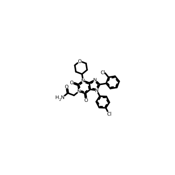 NC(=O)Cn1c(=O)c2c(nc(-c3ccccc3Cl)n2-c2ccc(Cl)cc2)n(C2CCOCC2)c1=O